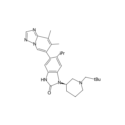 Cc1c(-c2cc3[nH]c(=O)n([C@@H]4CCCN(CC(C)(C)C)C4)c3cc2C(C)C)cn2ncnc2c1C